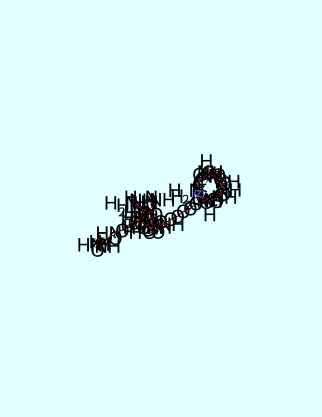 CC(O)C(NC(=O)[C@H](C)NC(=O)[C@H](CCCNC(=N)N)NC(=O)[C@H](CCCNC(=N)N)NC(=O)CNC(=O)COCCOCCOCCNC(=O)CCCC[C@H]1SC[C@H]2NC(=O)N[C@H]21)C(=O)N[C@@H](CO)C(=O)NCC(=O)NCCOCCOCCOCCOCCOCC(=O)N[C@H]1C/C(N)=C/N(N)CCCC[C@@H](C(N)=O)NC(=O)[C@@H]2CCCN2C(=O)CNC(=O)CNC(=O)CNC(=O)CNC1=O